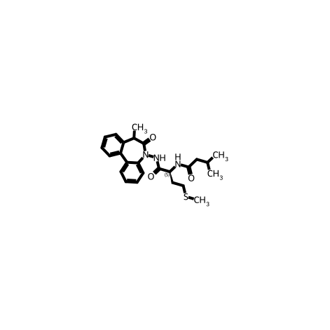 CSCC[C@H](NC(=O)CC(C)C)C(=O)NN1C(=O)C(C)c2ccccc2-c2ccccc21